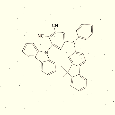 CC1(C)c2ccccc2-c2ccc(N(c3ccccc3)c3cc(C#N)c(C#N)c(-n4c5ccccc5c5ccccc54)c3)cc21